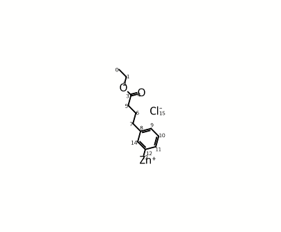 CCOC(=O)CCCc1ccc[c]([Zn+])c1.[Cl-]